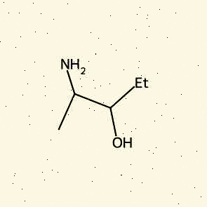 [CH2]CC(O)C(C)N